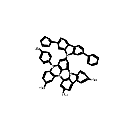 CC(C)(C)c1ccc(N2c3ccc(C(C)(C)C)cc3B3c4c2cc(-n2c5cc(-c6ccccc6)ccc5c5ccc(-c6ccccc6)cc52)cc4-n2c4ccc(C(C)(C)C)cc4c4cc(C(C)(C)C)cc3c42)cc1